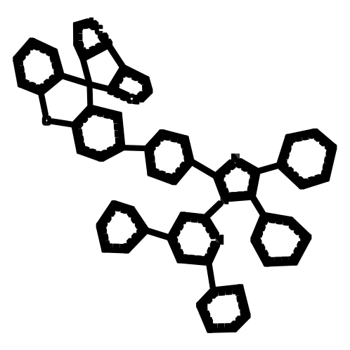 c1ccc(-c2cc(-c3ccccc3)nc(-n3c(-c4ccc(-c5ccc6c(c5)C5(c7ccccc7O6)c6ccccc6-c6ccccc65)cc4)nc(-c4ccccc4)c3-c3ccccc3)c2)cc1